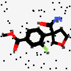 COC(=O)c1ccc(C2(C(N)=O)CCOC2)c(F)c1